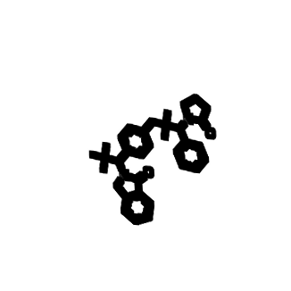 CC(C)(C)C(c1ccc(CC(C)(C)C(c2ccccc2)N2CCCC2=O)cc1)N1Cc2ccccc2C1=O